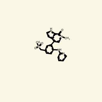 Cn1cc(-c2cc(CS(C)(=O)=O)ccc2Nc2ccccn2)c2cc[nH]c2c1=O